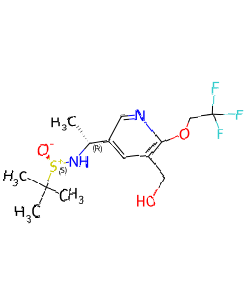 C[C@@H](N[S@+]([O-])C(C)(C)C)c1cnc(OCC(F)(F)F)c(CO)c1